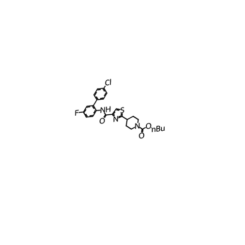 CCCCOC(=O)N1CCC(c2nc(C(=O)Nc3ccc(F)cc3-c3ccc(Cl)cc3)cs2)CC1